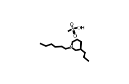 CCCCCCN1CCCC(CCC)C1.CS(=O)(=O)O